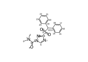 CN(C)C(=O)n1cnc(S(=O)(=O)C(c2ccccc2)c2ccccc2)n1